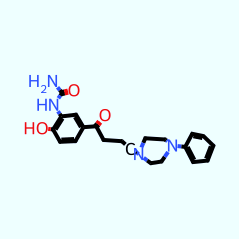 NC(=O)Nc1cc(C(=O)CCCN2CCN(c3ccccc3)CC2)ccc1O